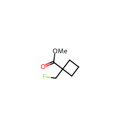 COC(=O)C1(CF)CCC1